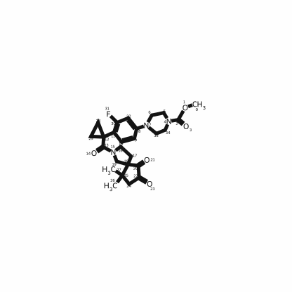 COC(=O)N1CCN(c2ccc(C3(C(=O)N4CCC5(C4)C(=O)C(=O)CC5(C)C)CC3)c(F)c2)CC1